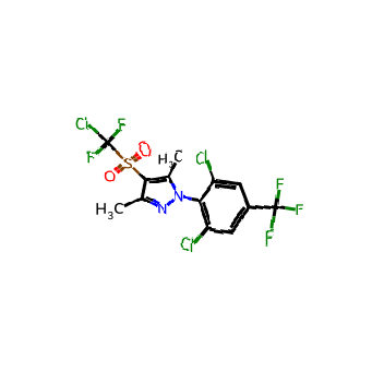 Cc1nn(-c2c(Cl)cc(C(F)(F)F)cc2Cl)c(C)c1S(=O)(=O)C(F)(F)Cl